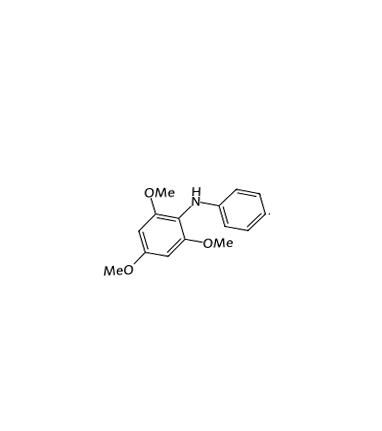 COc1cc(OC)c(Nc2cc[c]cc2)c(OC)c1